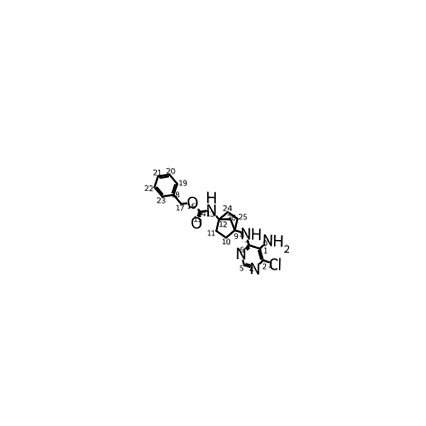 Nc1c(Cl)ncnc1NC12CCC(NC(=O)OCc3ccccc3)(CC1)C2